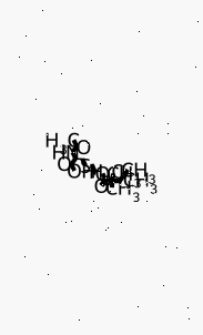 CC(=O)N[C@@H](CSCCOC(=O)C(C)(C)CC(C)(C)C)C(=O)O